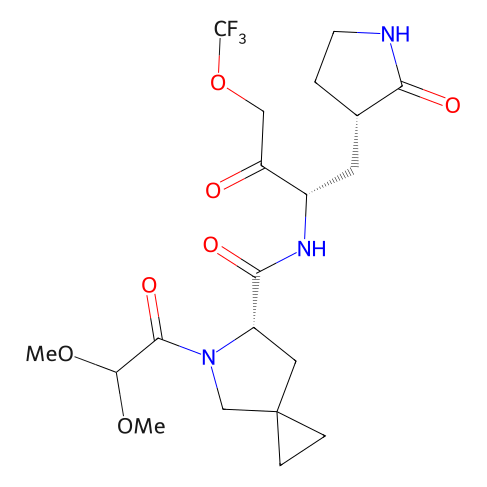 COC(OC)C(=O)N1CC2(CC2)C[C@H]1C(=O)N[C@@H](C[C@@H]1CCNC1=O)C(=O)COC(F)(F)F